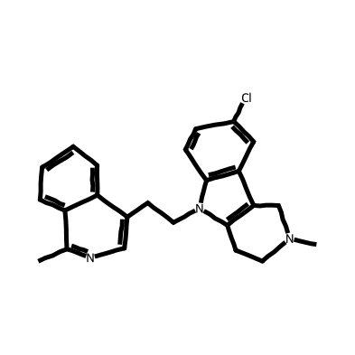 Cc1ncc(CCn2c3c(c4cc(Cl)ccc42)CN(C)CC3)c2ccccc12